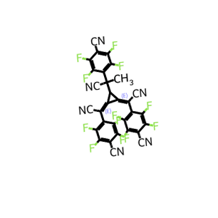 CC(C#N)(c1c(F)c(F)c(C#N)c(F)c1F)C1C(=C(\C#N)c2c(F)c(F)c(C#N)c(F)c2F)/C1=C(/C#N)c1c(F)c(F)c(C#N)c(F)c1F